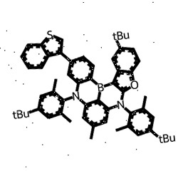 Cc1cc2c3c(c1)N(c1c(C)cc(C(C)(C)C)cc1C)c1oc4ccc(C(C)(C)C)cc4c1B3c1ccc(-c3csc4ccccc34)cc1N2c1c(C)cc(C(C)(C)C)cc1C